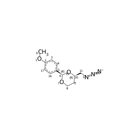 COc1ccc([C@@H]2OCC[C@H](CN=[N+]=[N-])O2)cc1